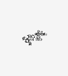 CCOc1ccc(-c2nccs2)nc1Nc1n[nH]c2cc([C@@H]3C[C@@]34C(=O)N(C(=O)OC(C)(C)C)c3ccc(OC)cc34)ccc12